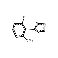 CSc1cccc(F)c1-c1nccs1